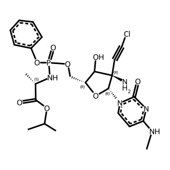 CNc1ccn([C@@H]2O[C@H](COP(=O)(N[C@@H](C)C(=O)OC(C)C)Oc3ccccc3)C(O)[C@]2(N)C#CCl)c(=O)n1